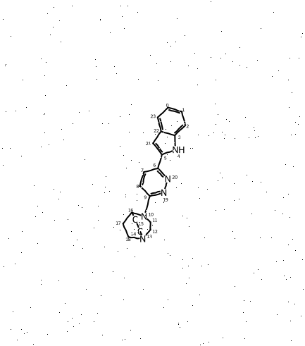 c1ccc2[nH]c(-c3ccc(N4CCN5CCC4CC5)nn3)cc2c1